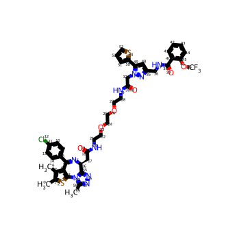 Cc1sc2c(c1C)C(c1ccc(Cl)cc1)=N[C@@H](CC(=O)NCCOCCOCCNC(=O)Cn1nc(CNC(=O)c3ccccc3OC(F)(F)F)cc1-c1cccs1)c1nnc(C)n1-2